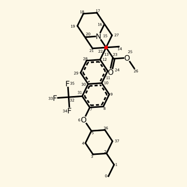 CCC1CCC(Oc2ccc3cc(C(C)N4C5CCCC4CC(C(=O)OC)C5)ccc3c2C(F)(F)F)CC1